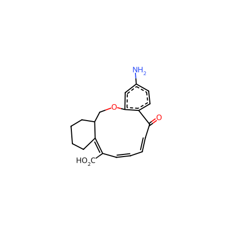 Nc1ccc2c(c1)OCC1CCCCC1=C(C(=O)O)C=CC=CC2=O